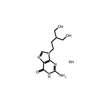 Nc1nc2c(ncn2CCC(CO)CO)c(=O)[nH]1.[KH]